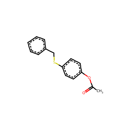 CC(=O)Oc1ccc(SCc2ccccc2)cc1